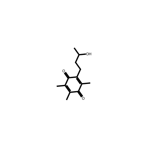 CC1=C(C)C(=O)C(CCC(C)O)=C(C)C1=O